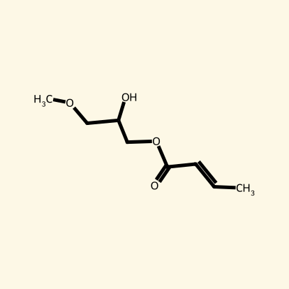 CC=CC(=O)OCC(O)COC